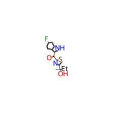 CCC(C)(O)c1csc(C(=O)c2c[nH]c3cc(F)ccc23)n1